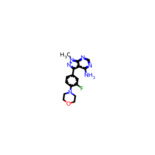 Cn1nc(-c2ccc(N3CCOCC3)c(F)c2)c2c(N)ncnc21